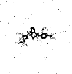 COc1nn(CC(C)(C)O)cc1-n1cc2c(-c3nc(-c4ccc(C(N)=O)cc4OC(F)(F)F)n(C)c3C3CC3)cccc2n1